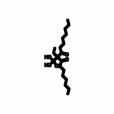 CCCCCCCC(=O)C(CC)(C(=O)CCCCCCC)C(O)(O)O